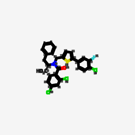 O=C(O)[C@H](Cc1ccccc1)N(Cc1ccc(-c2ccc(Cl)c(F)c2)s1)C(=O)c1ccc(Cl)cc1Cl